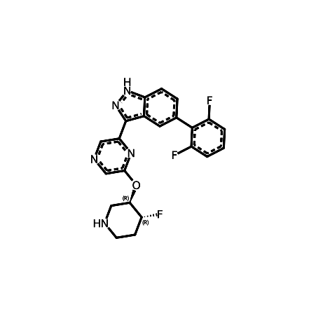 Fc1cccc(F)c1-c1ccc2[nH]nc(-c3cncc(O[C@@H]4CNCC[C@H]4F)n3)c2c1